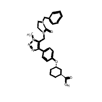 Cn1nnc(-c2ccc(O[C@H]3CCC[C@H](C(=O)O)C3)cc2)c1CN1CCN(Cc2ccccc2)C1=O